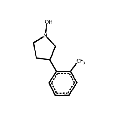 ON1CCC(c2ccccc2C(F)(F)F)C1